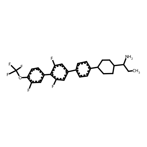 CCC(N)C1CCC(c2ccc(-c3cc(F)c(-c4ccc(OC(F)(F)F)c(F)c4)c(F)c3)cc2)CC1